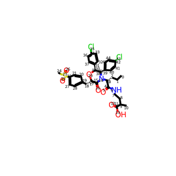 CCC[C@H](C(=O)NCCC(C)C(=O)O)N1C(=O)[C@H](Cc2ccc(S(C)(=O)=O)cc2)O[C@@H](c2ccc(Cl)cc2)[C@H]1c1ccc(Cl)cc1